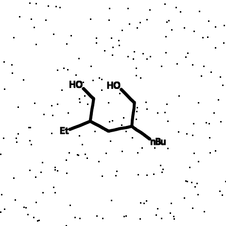 CCCCC(CO)CC(CC)CO